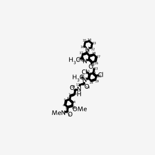 CNC(=O)c1ccc(C=CC(=O)NCC(=O)N(C)c2ccc(Cl)c(COc3cccc4c(N5CCCCC5)cc(C)nc34)c2Cl)cc1OC